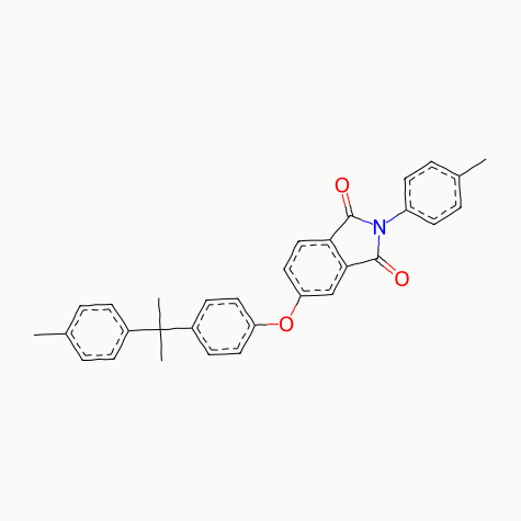 Cc1ccc(N2C(=O)c3ccc(Oc4ccc(C(C)(C)c5ccc(C)cc5)cc4)cc3C2=O)cc1